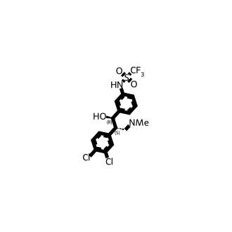 CNC[C@H](c1ccc(Cl)c(Cl)c1)[C@@H](O)c1cccc(NS(=O)(=O)C(F)(F)F)c1